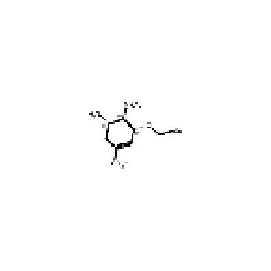 CCC(C)CO[C@@H]1C=C(C(=O)O)C[C@H](N)[C@H]1NC(C)=O